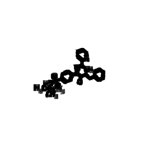 CC(C)(C)NS(=O)(=O)c1ccc(NC(=O)C(Cc2ccccc2)NC(=O)c2ccccn2)cc1